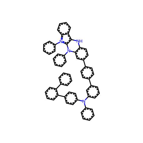 c1ccc(-c2ccccc2-c2ccc(N(c3ccccc3)c3cccc(-c4ccc(-c5ccc6c(c5)N(c5ccccc5)c5c(c7ccccc7n5-c5ccccc5)N6)cc4)c3)cc2)cc1